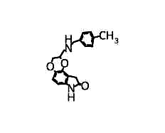 Cc1ccc(CNCC2COc3ccc4c(c3O2)CC(=O)N4)cc1